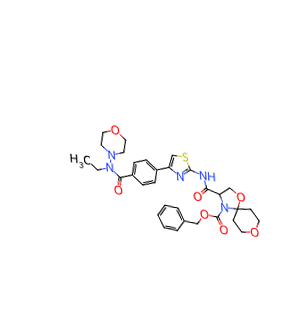 CCN(C(=O)c1ccc(-c2csc(NC(=O)C3COC4(CCOCC4)N3C(=O)OCc3ccccc3)n2)cc1)N1CCOCC1